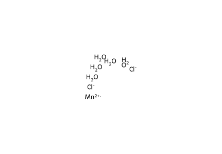 O.O.O.O.O.[Cl-].[Cl-].[Mn+2]